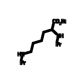 CCOC(=O)C(CCCCNC(C)C)NC(C)C